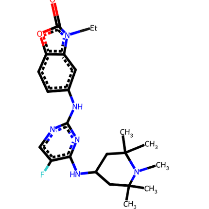 CCn1c(=O)oc2ccc(Nc3ncc(F)c(NC4CC(C)(C)N(C)C(C)(C)C4)n3)cc21